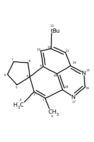 CC1=C(C)C2(CCCC2)c2cc(C(C)(C)C)cc3ncnc1c23